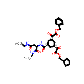 O=C(CC(NC(=O)[C@H]1C[C@@H](C(=O)C(=O)OCc2ccccc2)C[C@@H](C(=O)C(=O)OCc2ccccc2)C1)C(=O)NCS(=O)(=O)O)NCS(=O)(=O)O